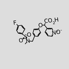 CN(Cc1ccc(OC(C(=O)O)c2ccc[n+]([O-])c2)cc1)S(=O)(=O)c1ccc(F)cc1